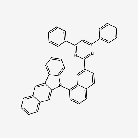 c1ccc(-c2cc(-c3ccccc3)nc(-c3ccc4cccc(-n5c6ccccc6c6cc7ccccc7cc65)c4c3)n2)cc1